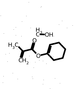 C=C(C)C(=O)OC1=CCCCC1.CO